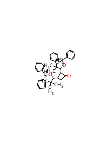 CC(C)(C)C(O[SiH](c1ccccc1)c1ccccc1)[C@@H]1CC(=O)[C@H]1C(O[SiH](c1ccccc1)c1ccccc1)C(C)(C)C